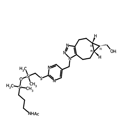 CC(=O)NCCC[Si](C)(C)O[Si](C)(C)CSc1ncc(Cn2nnc3c2CC[C@H]2[C@@H](CO)[C@H]2CC3)cn1